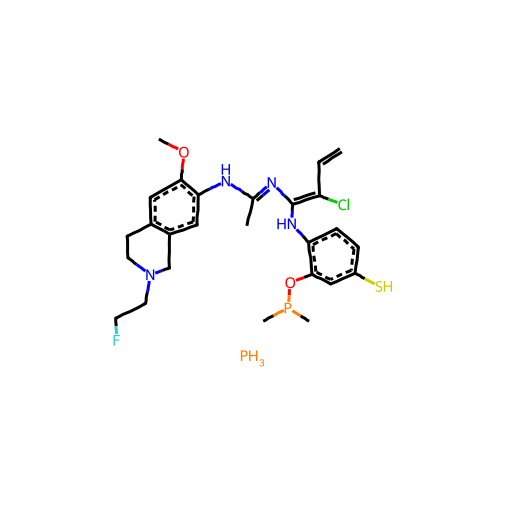 C=C/C(Cl)=C(\N=C(/C)Nc1cc2c(cc1OC)CCN(CCF)C2)Nc1ccc(S)cc1OP(C)C.P